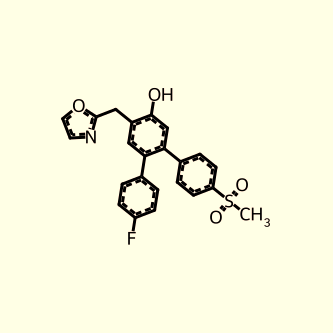 CS(=O)(=O)c1ccc(-c2cc(O)c(Cc3ncco3)cc2-c2ccc(F)cc2)cc1